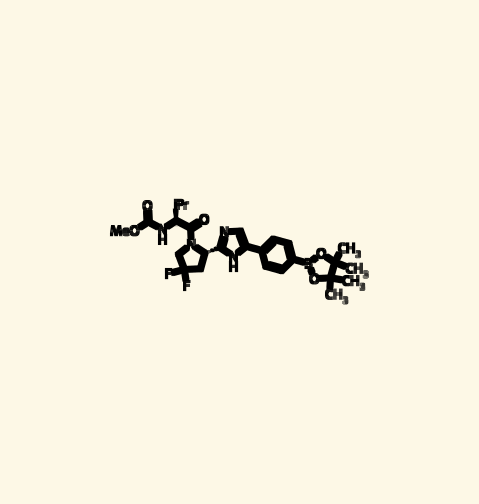 COC(=O)N[C@H](C(=O)N1CC(F)(F)C[C@H]1c1ncc(-c2ccc(B3OC(C)(C)C(C)(C)O3)cc2)[nH]1)C(C)C